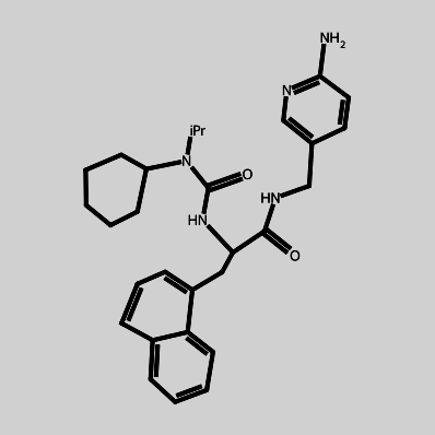 CC(C)N(C(=O)NC(Cc1cccc2ccccc12)C(=O)NCc1ccc(N)nc1)C1CCCCC1